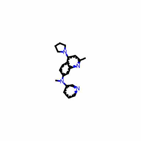 Cc1cc(N2CCCC2)c2ccc(N(C)c3cccnc3)cc2n1